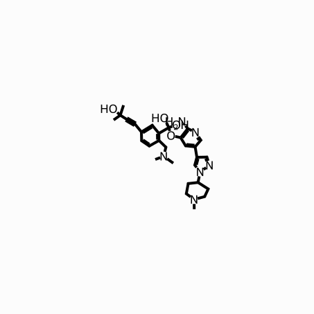 CN(C)Cc1ccc(C#CC(C)(C)O)cc1C(O)(O)Oc1cc(-c2cnn(C3CCN(C)CC3)c2)cnc1N